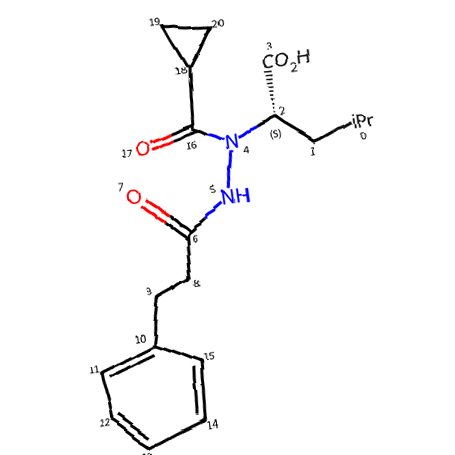 CC(C)C[C@@H](C(=O)O)N(NC(=O)CCc1ccccc1)C(=O)C1CC1